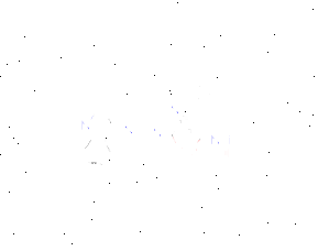 CN1CC2(CC2)C[C@H](C(=O)NO)[C@H]1C(=O)N1CCN(c2ccnc3ccccc23)CC1